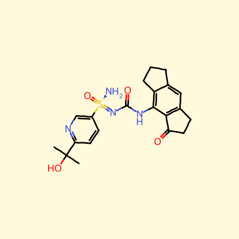 CC(C)(O)c1ccc([S@](N)(=O)=NC(=O)Nc2c3c(cc4c2C(=O)CC4)CCC3)cn1